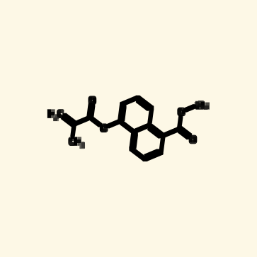 C=C(C)C(=O)Oc1cccc2c(C(=O)OC(C)(C)C)cccc12